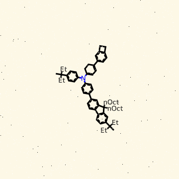 CCCCCCCCC1(CCCCCCCC)c2cc(-c3ccc(N(C4=CC=C(c5ccc6c(c5)CC6)CC4)c4ccc(C(C)(CC)CC)cc4)cc3)ccc2-c2ccc(C(C)(CC)CC)cc21